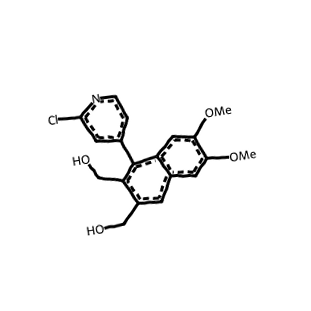 COc1cc2cc(CO)c(CO)c(-c3ccnc(Cl)c3)c2cc1OC